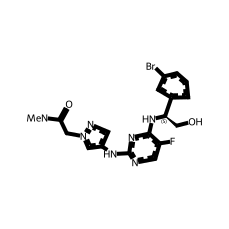 CNC(=O)Cn1cc(Nc2ncc(F)c(N[C@H](CO)c3cccc(Br)c3)n2)cn1